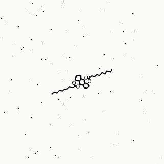 CCCCCCCCCC(=O)Oc1c2ccccc2c(OC(=O)CCCCCCCCC)c2ccccc12